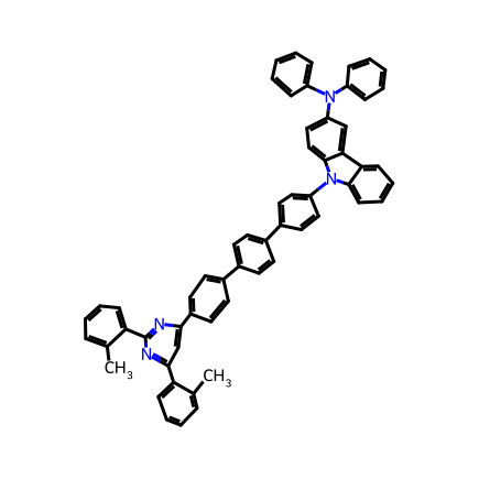 Cc1ccccc1-c1cc(-c2ccc(-c3ccc(-c4ccc(-n5c6ccccc6c6cc(N(c7ccccc7)c7ccccc7)ccc65)cc4)cc3)cc2)nc(-c2ccccc2C)n1